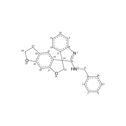 c1ccc(CNC2=Nc3ccccc3C23COc2cc4c(cc23)CCO4)cc1